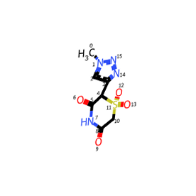 Cn1cc(C2C(=O)NC(=O)CS2(=O)=O)nn1